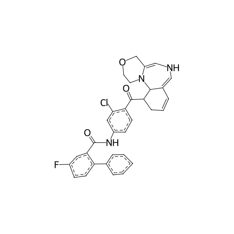 O=C(Nc1ccc(C(=O)C2CC=CC3=CNC=C4COCCN4C32)c(Cl)c1)c1cc(F)ccc1-c1ccccc1